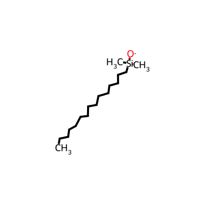 CCCCCCCCCCCCCCC[Si](C)(C)[O]